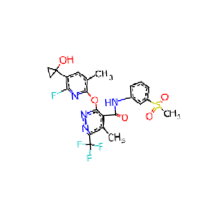 Cc1cc(C2(O)CC2)c(F)nc1Oc1nnc(C(F)(F)F)c(C)c1C(=O)Nc1cccc(S(C)(=O)=O)c1